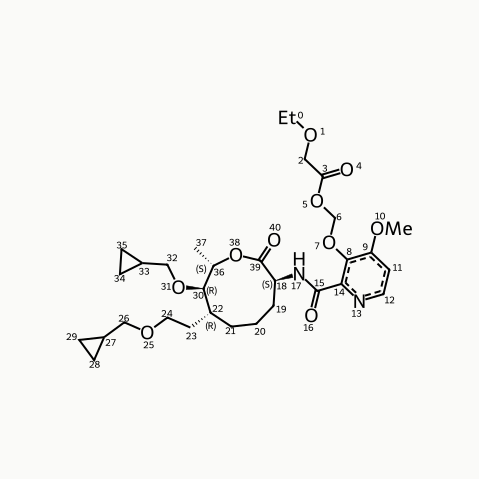 CCOCC(=O)OCOc1c(OC)ccnc1C(=O)N[C@H]1CCC[C@H](CCOCC2CC2)[C@@H](OCC2CC2)[C@H](C)OC1=O